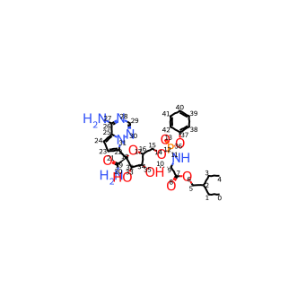 CCC(CC)COC(=O)[C@H](C)N[P@](=O)(OCC1O[C@@](C(N)=O)(c2ccc3c(N)ncnn23)[C@H](O)[C@@H]1O)Oc1ccccc1